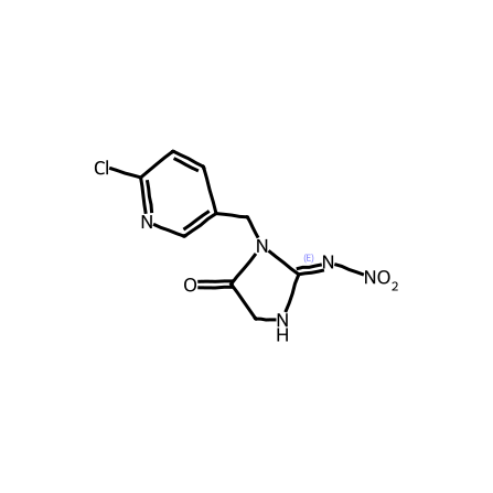 O=C1CN/C(=N\[N+](=O)[O-])N1Cc1ccc(Cl)nc1